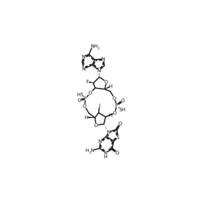 Nc1nc2c(sc(=O)n2[C@@H]2O[C@@H]3CO[P@](=O)(S)OC4[C@@H](F)[C@H](n5cnc6c(N)ncnc65)O[C@@H]4CO[P@](=O)(S)O[C@@H]2C3I)c(=O)[nH]1